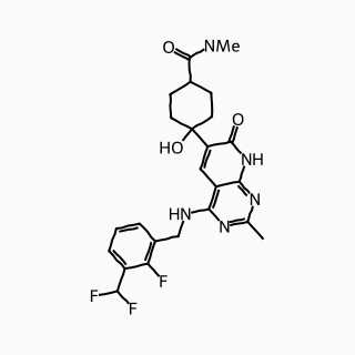 CNC(=O)C1CCC(O)(c2cc3c(NCc4cccc(C(F)F)c4F)nc(C)nc3[nH]c2=O)CC1